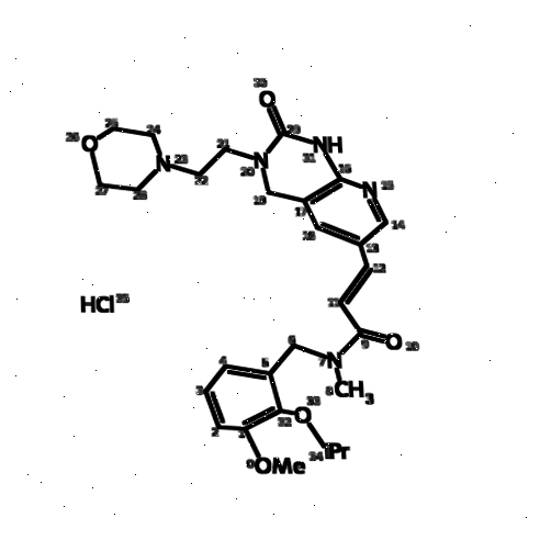 COc1cccc(CN(C)C(=O)C=Cc2cnc3c(c2)CN(CCN2CCOCC2)C(=O)N3)c1OC(C)C.Cl